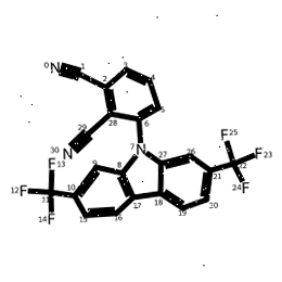 N#Cc1cccc(-n2c3cc(C(F)(F)F)ccc3c3ccc(C(F)(F)F)cc32)c1C#N